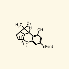 CCCCCc1cc(O)c2c(c1)O[C@]1(C)CCC3[C@@H]1[C@@H]2C3(C)C